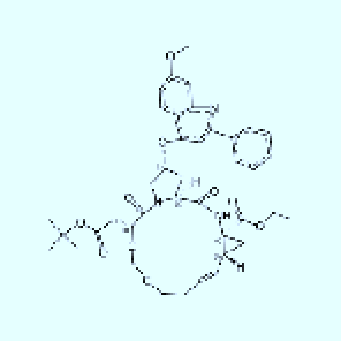 CCOC(=O)[C@]12C[C@@H]1C=CCCCCC[C@H](CC(=O)OC(C)(C)C)C(=O)N1C[C@H](Oc3cc(-c4ccccc4)nc4cc(OC)ccc34)C[C@H]1C(=O)N2